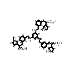 O=C(O)C(Cc1cccc(CNc2cc(NCc3cccc(CC(C(=O)O)C4CCNC4)c3)cc(NCc3cccc(CC(C(=O)O)C4CCNC4)c3)c2)c1)C1CCNC1